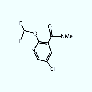 CNC(=O)c1cc(Cl)cnc1OC(F)F